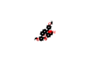 CCOc1ccc(C(=O)Oc2ccc3ccccc3c2-c2c(C(OO)c3ccc(OCC)cc3)ccc3ccccc23)cc1